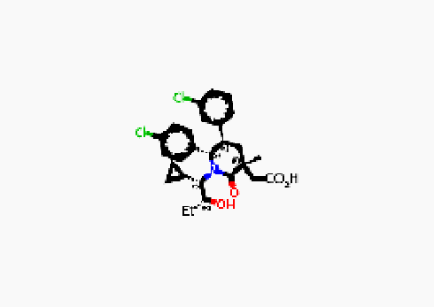 CC[C@@H](O)[C@H](C1CC1)N1C(=O)[C@@](C)(CC(=O)O)C[C@H](c2cccc(Cl)c2)[C@H]1c1ccc(Cl)cc1